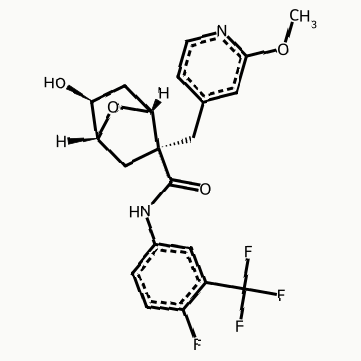 COc1cc(C[C@]2(C(=O)Nc3ccc(F)c(C(F)(F)F)c3)C[C@H]3O[C@@H]2C[C@@H]3O)ccn1